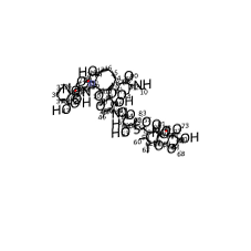 CCN[C@H]1CO[C@@H](O[C@H]2[C@H](O[C@H]3C#CC=CC#C[C@]4(O)CC(=O)C(NC(=O)OC)=C3/C4=C\CSSc3ncccc3C(=O)O)O[C@H](C)[C@@H](NO[C@H]3C[C@H](O)[C@H](SC(=O)c4c(C)c(I)c(O[C@@H]5O[C@@H](C)[C@H](O)[C@@H](OC)[C@H]5O)c(OC)c4OC)[C@@H](C)O3)[C@@H]2O)C[C@@H]1OC